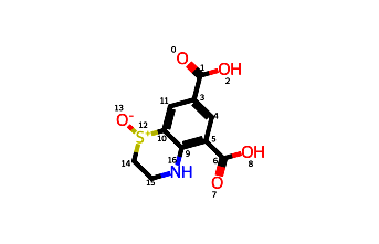 O=C(O)c1cc(C(=O)O)c2c(c1)[S+]([O-])CCN2